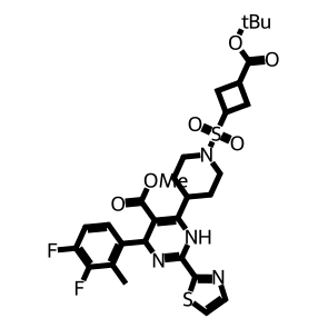 COC(=O)C1=C(C2CCN(S(=O)(=O)C3CC(C(=O)OC(C)(C)C)C3)CC2)NC(c2nccs2)=NC1c1ccc(F)c(F)c1C